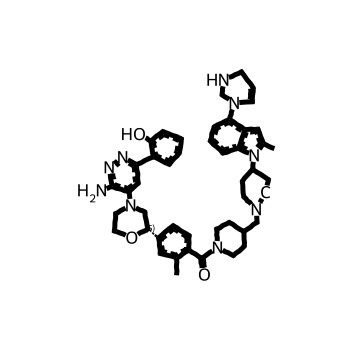 Cc1cc([C@H]2CN(c3cc(-c4ccccc4O)nnc3N)CCO2)ccc1C(=O)N1CCC(CN2CCC(n3c(C)cc4c(N5C=CCNC5)cccc43)CC2)CC1